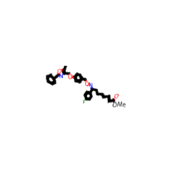 COC(=O)CCCCCCC(=NOCc1ccc(OCc2nc(-c3ccccc3)oc2C)cc1)c1ccc(F)cc1